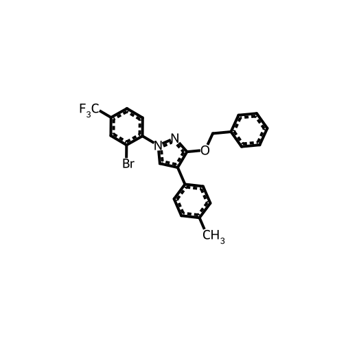 Cc1ccc(-c2cn(-c3ccc(C(F)(F)F)cc3Br)nc2OCc2ccccc2)cc1